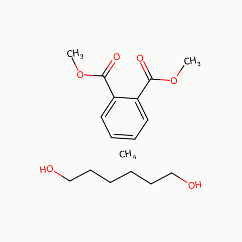 C.COC(=O)c1ccccc1C(=O)OC.OCCCCCCO